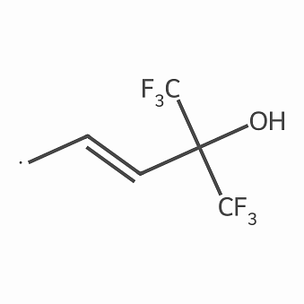 [CH2]/C=C/C(O)(C(F)(F)F)C(F)(F)F